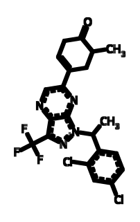 CC1CC(c2cnc3c(C(F)(F)F)nn(C(C)c4ccc(Cl)cc4Cl)c3n2)=CCC1=O